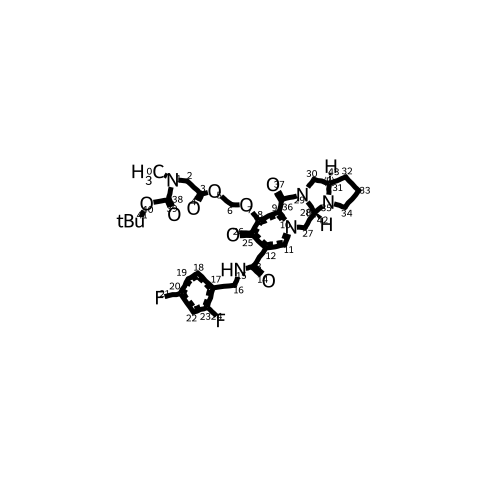 CN(CC(=O)OCOc1c2n(cc(C(=O)NCc3ccc(F)cc3F)c1=O)C[C@@H]1N(C[C@H]3CCCN31)C2=O)C(=O)OC(C)(C)C